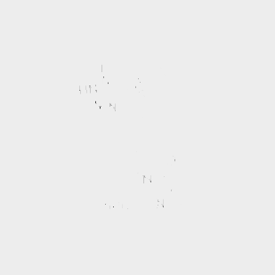 CCCCC1=NC2(CCCC2)C(=O)N1CC1=CC=C(c2ccccc2C2=NNNN2)CC1